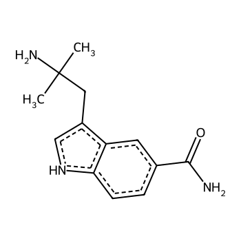 CC(C)(N)Cc1c[nH]c2ccc(C(N)=O)cc12